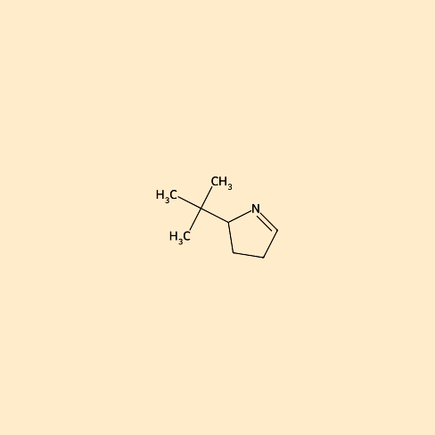 CC(C)(C)C1CCC=N1